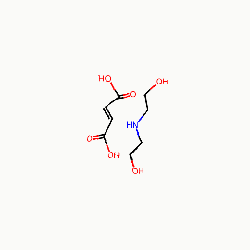 O=C(O)C=CC(=O)O.OCCNCCO